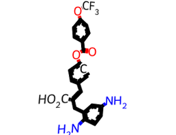 Nc1ccc(N)c(CC(=Cc2ccc(OC(=O)c3ccc(OC(F)(F)F)cc3)cc2)C(=O)O)c1